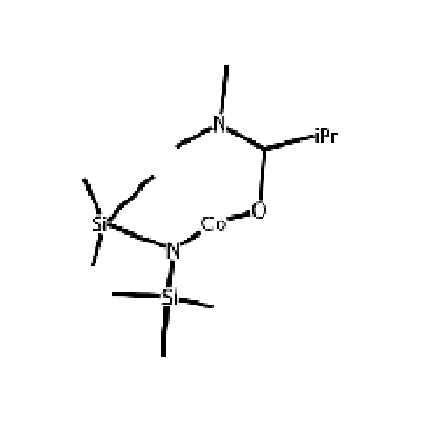 CC(C)C([O][Co][N]([Si](C)(C)C)[Si](C)(C)C)N(C)C